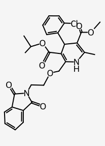 COC(=O)C1=C(C)NC(COCCN2C(=O)c3ccccc3C2=O)=C(C(=O)OC(C)C)C1c1ccccc1Cl